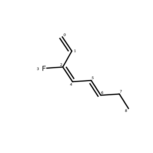 C=C/C(F)=C\C=C\CC